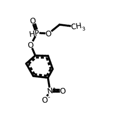 CCO[PH](=O)Oc1ccc([N+](=O)[O-])cc1